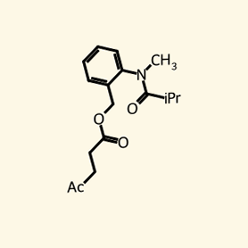 CC(=O)CCC(=O)OCc1ccccc1N(C)C(=O)C(C)C